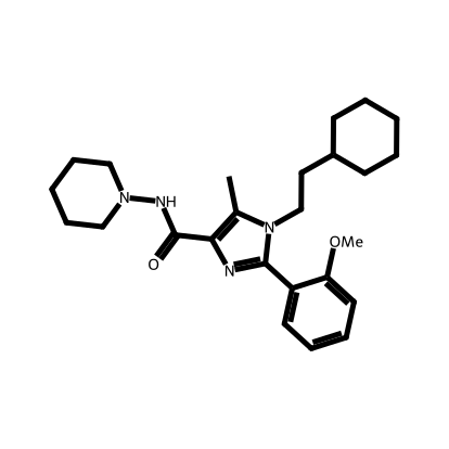 COc1ccccc1-c1nc(C(=O)NN2CCCCC2)c(C)n1CCC1CCCCC1